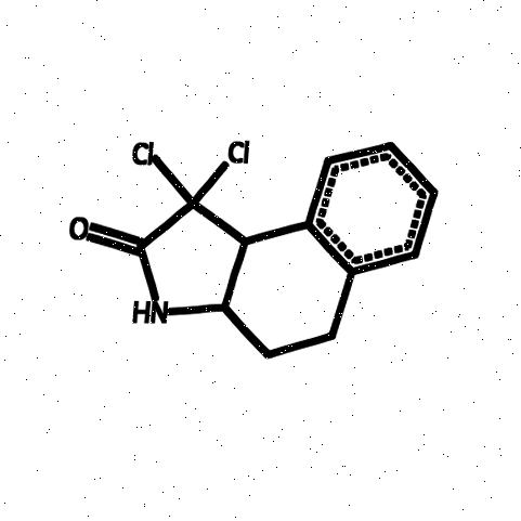 O=C1NC2CCc3ccccc3C2C1(Cl)Cl